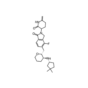 C=C1CCC(N2Cc3c(ccc(C[C@H]4OCCC[C@@H]4N[C@@H]4CCC(C)(C)C4)c3F)C2=O)C(=O)N1